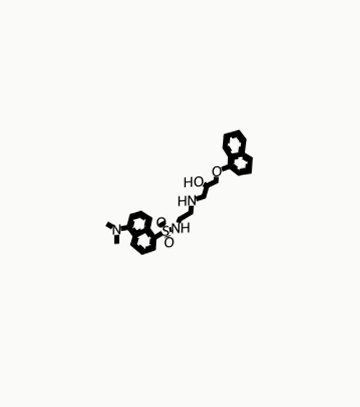 CN(C)c1cccc2c(S(=O)(=O)NCCNCC(O)COc3cccc4ccccc34)cccc12